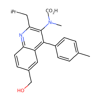 Cc1ccc(-c2c(N(C)C(=O)O)c(CC(C)C)nc3ccc(CO)cc23)cc1